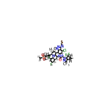 Cn1nc(N=C=S)c2c(Cl)ccc(-c3ccc(C#CC(C)(C)S(=O)(=O)C4CC4)nc3C(Cc3cc(F)cc(F)c3)NC(=O)Cn3nc(C(F)(F)F)c4c3C(F)(F)[C@@H]3C[C@H]43)c21